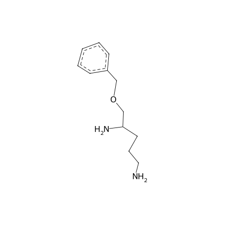 NCCCC(N)COCc1ccccc1